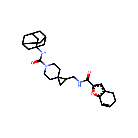 O=C(NCC1CC12CCN(C(=O)NC13CC4CC(CC(C4)C1)C3)CC2)c1cc2c(o1)C=CCC2